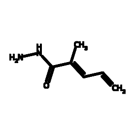 C=C/C=C(\C)C(=O)NN